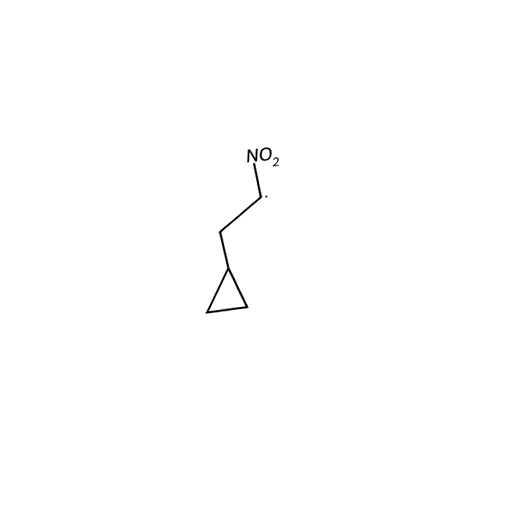 O=[N+]([O-])[CH]CC1CC1